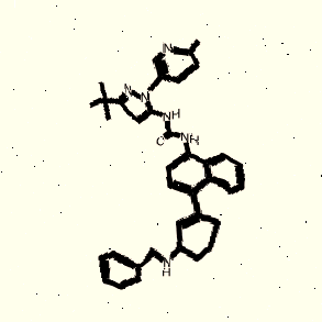 Cc1ccc(-n2nc(C(C)(C)C)cc2NC(=O)Nc2ccc(C3=CC(NCc4ccccc4)CCC3)c3ccccc23)cn1